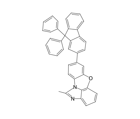 Cc1nc2cccc3c2n1-c1ccc(-c2ccc4c(c2)C(c2ccccc2)(c2ccccc2)c2ccccc2-4)cc1O3